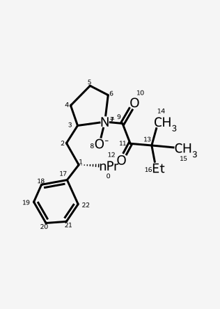 CCC[C@@H](CC1CCC[N+]1([O-])C(=O)C(=O)C(C)(C)CC)c1ccccc1